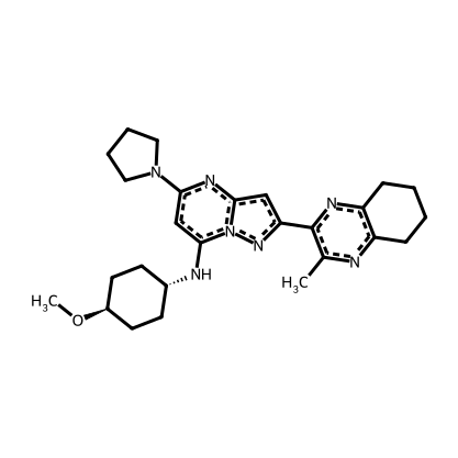 CO[C@H]1CC[C@H](Nc2cc(N3CCCC3)nc3cc(-c4nc5c(nc4C)CCCC5)nn23)CC1